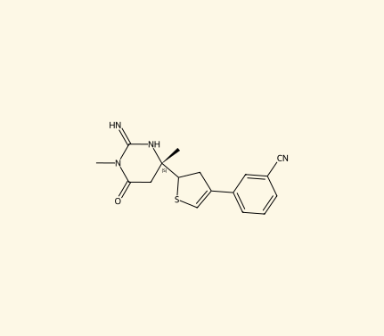 CN1C(=N)N[C@](C)(C2CC(c3cccc(C#N)c3)=CS2)CC1=O